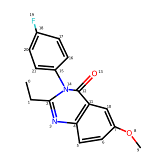 CCc1nc2ccc(OC)cc2c(=O)n1-c1ccc(F)cc1